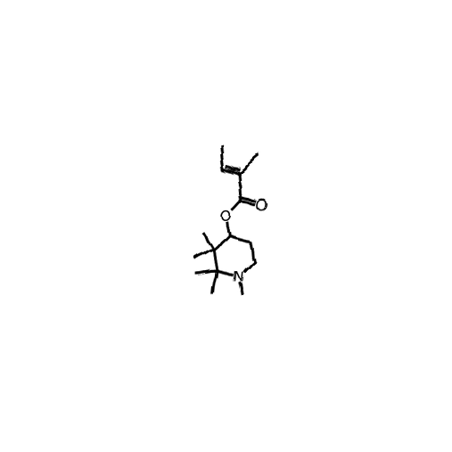 CC=C(C)C(=O)OC1CCN(C)C(C)(C)C1(C)C